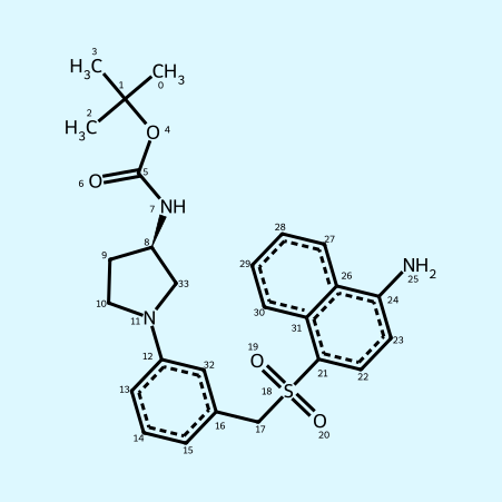 CC(C)(C)OC(=O)N[C@@H]1CCN(c2cccc(CS(=O)(=O)c3ccc(N)c4ccccc34)c2)C1